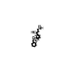 O=S(=O)(CC1CCCCC1)c1cccc([C@H](O)CCNCl)n1